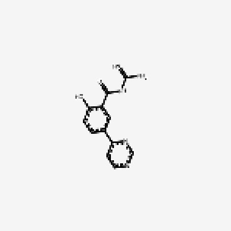 N=C(N)NC(=O)c1cc(-c2ccncn2)ccc1O